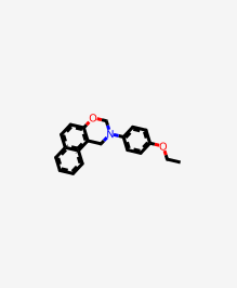 CCOc1ccc(N2COc3ccc4ccccc4c3C2)cc1